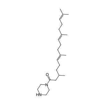 CC(C)=CCC/C(C)=C/CC/C(C)=C/CCC(C)CC(=O)N1CCNCC1